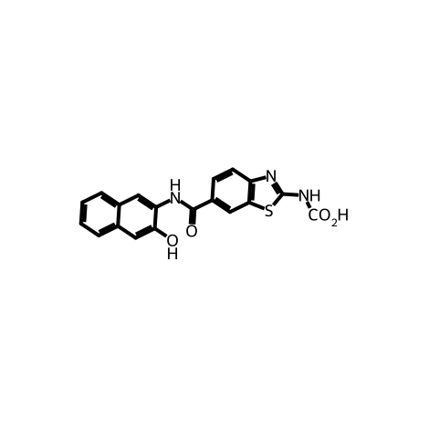 O=C(O)Nc1nc2ccc(C(=O)Nc3cc4ccccc4cc3O)cc2s1